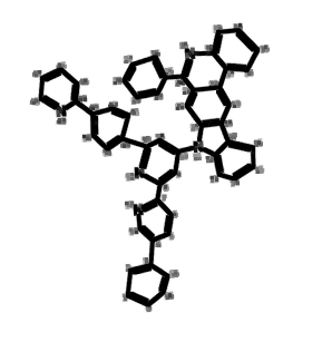 c1ccc(-c2ccc(-c3cc(-n4c5ccccc5c5cc6c(cc54)c(-c4ccccc4)nc4ccccc46)cc(-c4ccc(-c5ccccn5)cc4)n3)nc2)cc1